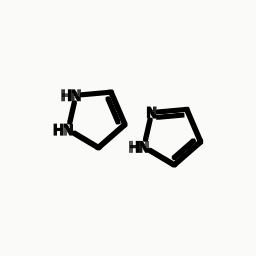 C1=CNNC1.c1cn[nH]c1